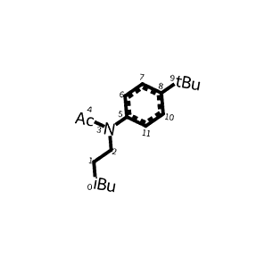 CCC(C)CCN(C(C)=O)c1ccc(C(C)(C)C)cc1